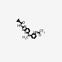 CN(c1cccc(NC(=O)C(F)(F)F)c1)c1ccc2nc(NC(=O)C3CC3)sc2n1